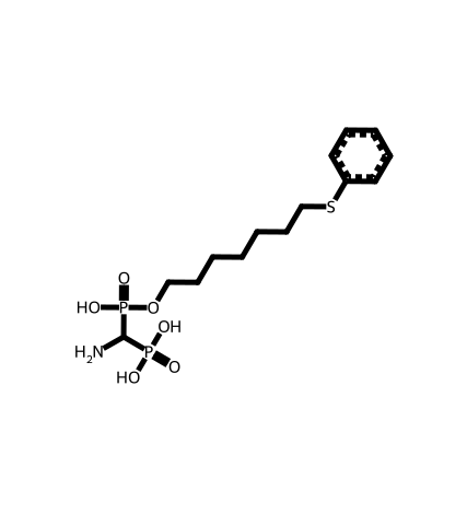 NC(P(=O)(O)O)P(=O)(O)OCCCCCCCSc1ccccc1